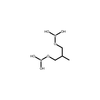 CC(CON(O)O)CON(O)O